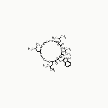 CC(C)CC1CCCCCCN[C@@H](CC(C)C)C(=O)N[C@@H](C(C)C)C(=O)N[C@@H](Cc2c[nH]c3ccccc23)C(=O)C(CC(C)C)CSCSC1